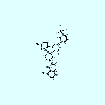 CC(=O)OC(COc1cccc(C(F)(F)F)n1)c1c(C)nc(C)nc1C1CCN(C(=O)Nc2c(F)cccc2F)CC1